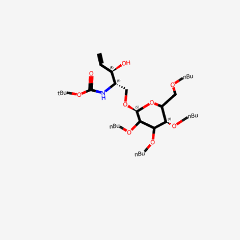 C=C[C@@H](O)[C@H](CO[C@H]1OC(COCCCC)[C@H](OCCCC)C(OCCCC)C1OCCCC)NC(=O)OC(C)(C)C